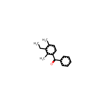 CCc1c(C)ccc(C(=O)c2ccccc2)c1C